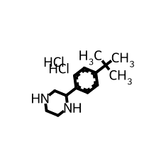 CC(C)(C)c1ccc(C2CNCCN2)cc1.Cl.Cl